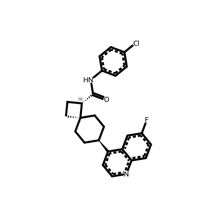 O=C(Nc1ccc(Cl)cc1)[C@H]1CC[C@]12CC[C@H](c1ccnc3ccc(F)cc31)CC2